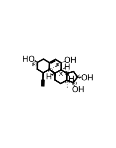 C#CC1C[C@@H](O)CC2=C[C@H](O)[C@H]3[C@@H]4C[C@@H](O)[C@H](O)[C@@]4(C)CC[C@@H]3[C@]21C